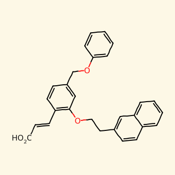 O=C(O)C=Cc1ccc(COc2ccccc2)cc1OCCc1ccc2ccccc2c1